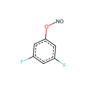 O=NOc1cc(F)cc(F)c1